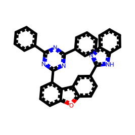 c1ccc(-c2nc(-c3ccccc3)nc(-c3cccc4oc5ccc(-c6nc7ccccc7[nH]6)cc5c34)n2)cc1